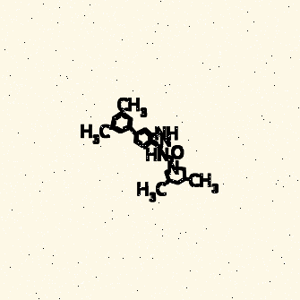 Cc1cc(C)cc(-c2ccc3c(NC(=O)N4CC(C)CC(C)C4)n[nH]c3c2)c1